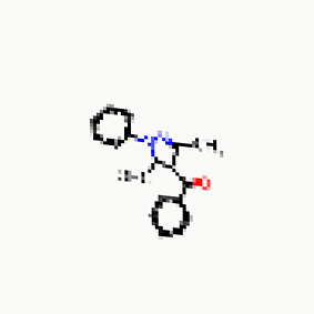 CC1=NN(c2ccccc2)C(C=O)C1C(=O)c1ccccc1